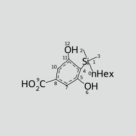 CCCCCC[Si](C)(C)c1c(O)cc(C(=O)O)cc1O